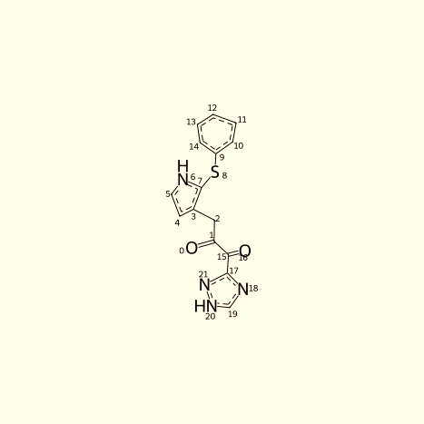 O=C(Cc1cc[nH]c1Sc1ccccc1)C(=O)c1nc[nH]n1